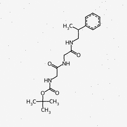 CC(CNC(=O)CNC(=O)CNC(=O)OC(C)(C)C)c1ccccc1